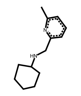 Cc1cccc(CNC2CCCCC2)n1